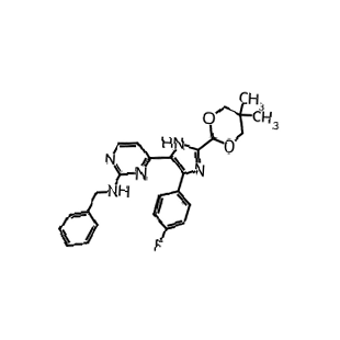 CC1(C)COC(c2nc(-c3ccc(F)cc3)c(-c3ccnc(NCc4ccccc4)n3)[nH]2)OC1